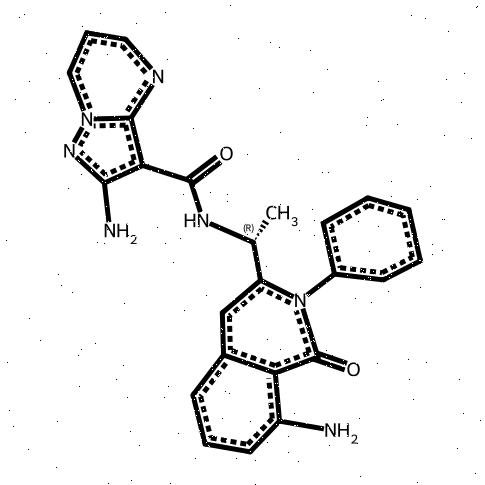 C[C@@H](NC(=O)c1c(N)nn2cccnc12)c1cc2cccc(N)c2c(=O)n1-c1ccccc1